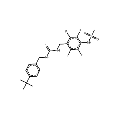 CC(C)(C)c1ccc(CNC(=S)NCc2c(F)c(F)c(NS(C)(=O)=O)c(F)c2F)cc1